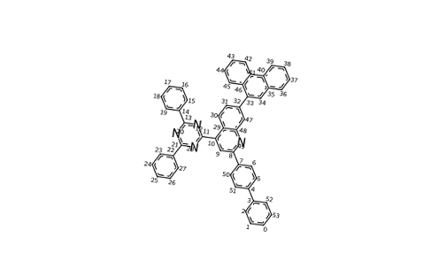 c1ccc(-c2ccc(-c3cc(-c4nc(-c5ccccc5)nc(-c5ccccc5)n4)c4ccc(-c5cc6ccccc6c6ccccc56)cc4n3)cc2)cc1